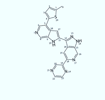 Cc1ccc(-c2cncc3[nH]c(-c4n[nH]c5cnc(-c6cnccn6)cc45)cc23)s1